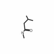 C[N]C(=O)CC(C)C